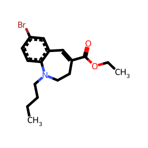 CCCCN1CCC(C(=O)OCC)=Cc2cc(Br)ccc21